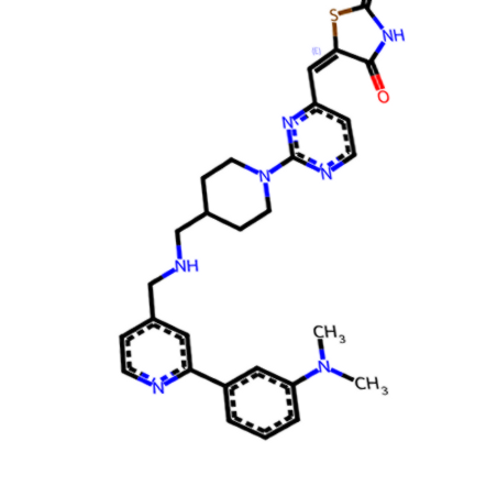 CN(C)c1cccc(-c2cc(CNCC3CCN(c4nccc(/C=C5/SC(=O)NC5=O)n4)CC3)ccn2)c1